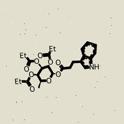 CCC(=O)O[C@H]1[C@H](OC(=O)CC)[C@H](OC(=O)CCc2c[nH]c3ccccc23)O[C@@H](C)[C@H]1OC(=O)CC